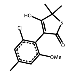 COc1cc(C)cc(Cl)c1C1=C(O)C(C)(C)SC1=O